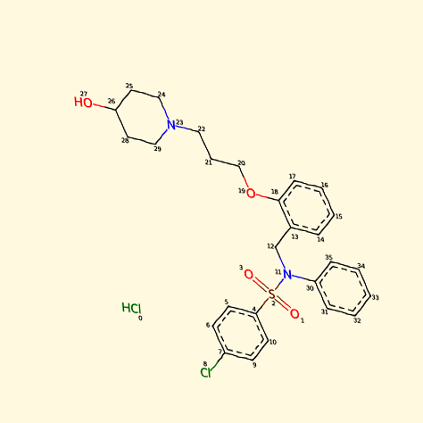 Cl.O=S(=O)(c1ccc(Cl)cc1)N(Cc1ccccc1OCCCN1CCC(O)CC1)c1ccccc1